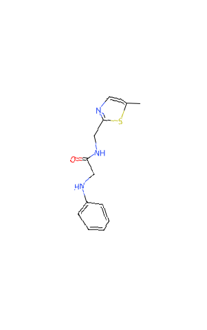 Cc1cnc(CNC(=O)CNc2ccccc2)s1